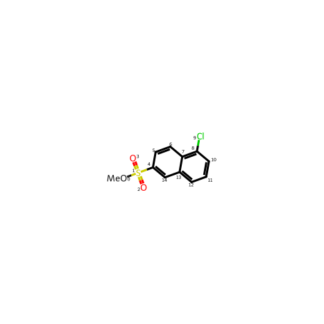 COS(=O)(=O)c1ccc2c(Cl)cccc2c1